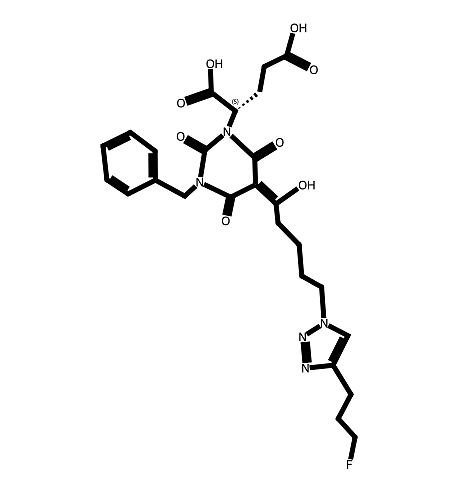 O=C(O)CC[C@@H](C(=O)O)N1C(=O)C(=C(O)CCCCn2cc(CCCF)nn2)C(=O)N(Cc2ccccc2)C1=O